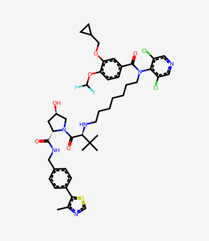 Cc1ncsc1-c1ccc(CNC(=O)[C@@H]2C[C@@H](O)CN2C(=O)[C@@H](NCCCCCCCN(C(=O)c2ccc(OC(F)F)c(OCC3CC3)c2)c2c(Cl)cncc2Cl)C(C)(C)C)cc1